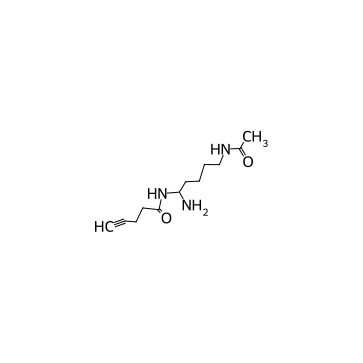 C#CCCC(=O)NC(N)CCCCNC(C)=O